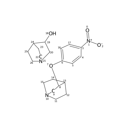 O=[N+]([O-])c1ccc(OC2CN3CCC2CC3)cc1.OC1CN2CCC1CC2